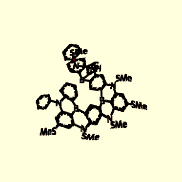 CSc1cc2c3c(c1)N(SC)c1cc4c(cc1B3c1cc3c(cc1N2SC)Nc1cc(SC)cc2c1B3c1ccccc1N2c1ccccc1)B1c2ccccc2N(c2ccccc2)c2cc(SC)cc(c21)N4SC